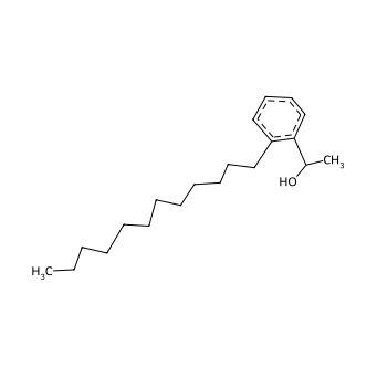 CCCCCCCCCCCCc1ccccc1C(C)O